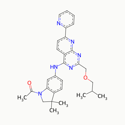 CC(=O)N1CC(C)(C)c2ccc(Nc3nc(COCC(C)C)nc4nc(-c5ccccn5)ccc34)cc21